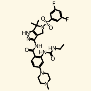 CCNC(=O)Nc1cc(N2CCN(C)CC2)ccc1C(=O)Nc1n[nH]c2c1CN(S(=O)(=O)c1cc(F)cc(F)c1)C2(C)C